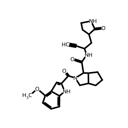 C#CC(CC1CCNC1=O)NC(=O)C1C2CCCC2CN1C(=O)c1cc2c(OC)cccc2[nH]1